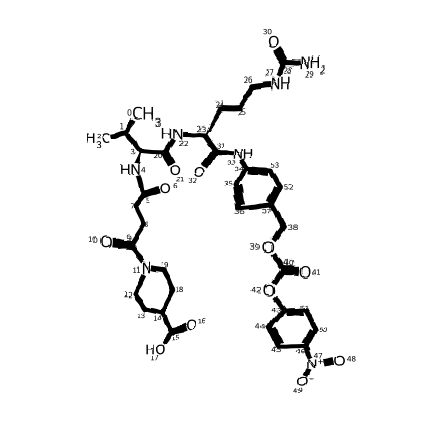 CC(C)[C@H](NC(=O)CCC(=O)N1CCC(C(=O)O)CC1)C(=O)N[C@@H](CCCNC(N)=O)C(=O)Nc1ccc(COC(=O)Oc2ccc([N+](=O)[O-])cc2)cc1